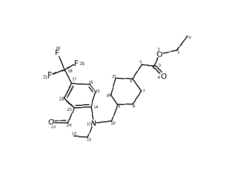 CCOC(=O)CC1CCC(CN(CC)c2ccc(C(F)(F)F)cc2C=O)CC1